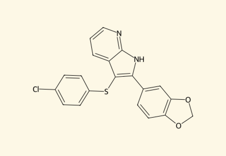 Clc1ccc(Sc2c(-c3ccc4c(c3)OCO4)[nH]c3ncccc23)cc1